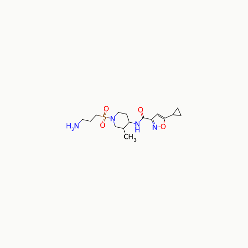 CC1CN(S(=O)(=O)CCCN)CCC1NC(=O)c1cc(C2CC2)on1